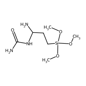 CO[Si](CCC(N)NC(N)=O)(OC)OC